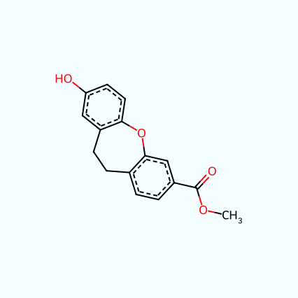 COC(=O)c1ccc2c(c1)Oc1ccc(O)cc1CC2